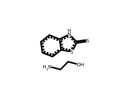 NCCO.S=c1[nH]c2ccccc2s1